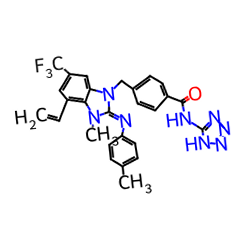 C=Cc1cc(C(F)(F)F)cc2c1n(C)c(=Nc1ccc(C)cc1)n2Cc1ccc(C(=O)Nc2nnn[nH]2)cc1